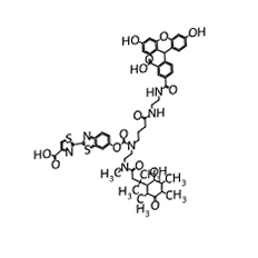 CC1C(=O)C(C)C(C(C)(C)CC(=O)N(C)CCN(CCCC(=O)NCCNC(=O)c2ccc(C3c4ccc(O)cc4Oc4cc(O)ccc43)c(C(=O)O)c2)C(=O)Oc2ccc3nc(-c4nc(C(=O)O)cs4)sc3c2)C(O)C1C